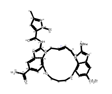 CCOC(=O)c1cc2c3c(c1)nc(NC)n3C/C=C/Cn1c(NC(=O)c3cc(C)nn3CC)nc3cc(C(N)=O)cc(c31)OCCCO2